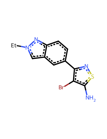 CCn1cc2cc(-c3nsc(N)c3Br)ccc2n1